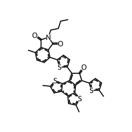 CCCCN1C(=O)c2c(C)ccc(-c3ccc(C4=c5c(c6sc(C)cc6c6cc(C)sc56)=C(c5ccc(C)s5)C4=O)s3)c2C1=O